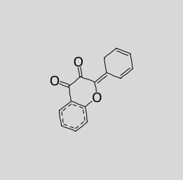 O=C1C(=O)c2ccccc2OC1=C1C=CC=CC1